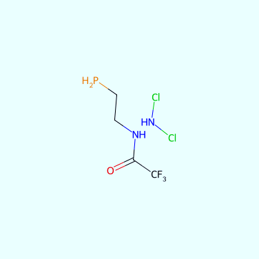 ClNCl.O=C(NCCP)C(F)(F)F